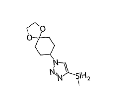 C[SiH2]c1cn(C2CCC3(CC2)OCCO3)nn1